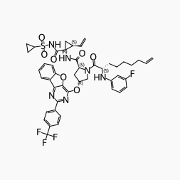 C=CCCCCC[C@H](Nc1cccc(F)c1)C(=O)N1C[C@H](Oc2nc(-c3ccc(C(F)(F)F)cc3)nc3c2oc2ccccc23)C[C@H]1C(=O)N[C@]1(C(=O)NS(=O)(=O)C2CC2)C[C@H]1C=C